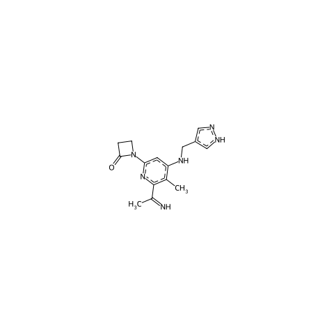 CC(=N)c1nc(N2CCC2=O)cc(NCc2cn[nH]c2)c1C